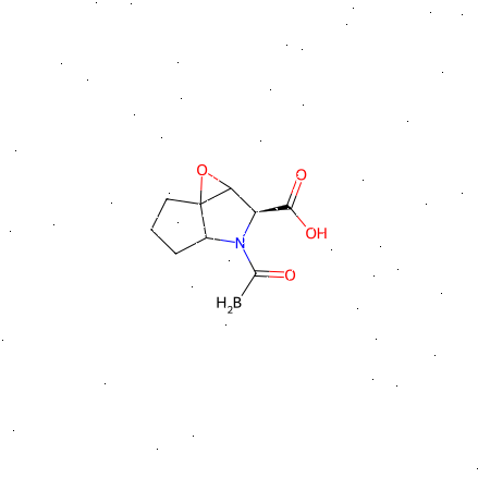 BC(=O)N1C2CCCC23OC3[C@H]1C(=O)O